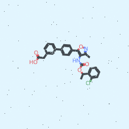 Cc1noc(-c2ccc(-c3cccc(CC(=O)O)c3)cc2)c1NC(=O)OC(C)c1ccccc1Cl